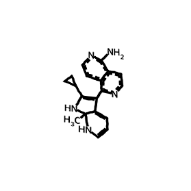 CC12NC=CC=C1C(c1nccc3c(N)nccc13)=C(C1CC1)N2